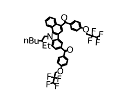 CCCCC(CC)Cn1c2ccc(C(=O)c3ccc(OCC(F)(F)C(F)F)cc3)cc2c2cc(C(=O)c3ccc(OCC(F)(F)C(F)F)cc3)c3ccccc3c21